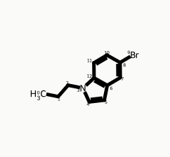 CCCn1ccc2cc(Br)ccc21